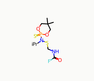 CC(C)N(SCNC(=O)F)P1(=S)OCC(C)(C)CO1